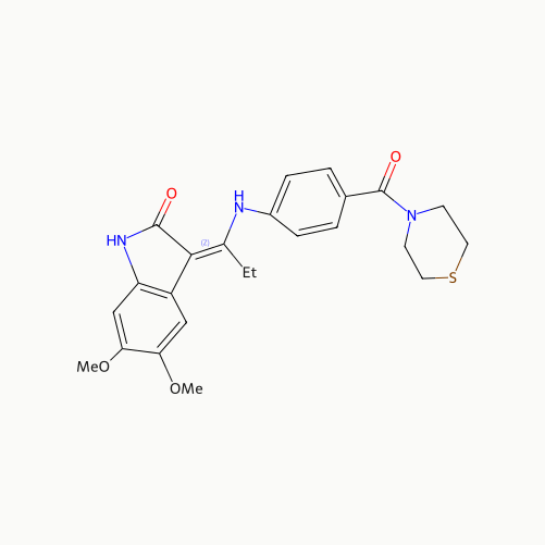 CC/C(Nc1ccc(C(=O)N2CCSCC2)cc1)=C1/C(=O)Nc2cc(OC)c(OC)cc21